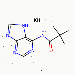 CC(C)(C)C(=O)Nc1ncnc2nc[nH]c12.[KH]